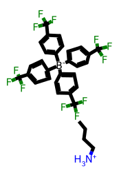 CCCC[NH3+].FC(F)(F)c1ccc([B-](c2ccc(C(F)(F)F)cc2)(c2ccc(C(F)(F)F)cc2)c2ccc(C(F)(F)F)cc2)cc1